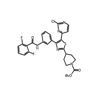 CC(C)COC(=O)N1CCC(c2nc(-c3cccc(NC(=O)c4c(F)cccc4F)c3)c(-c3ccnc(Cl)n3)s2)CC1